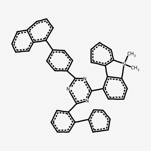 C[Si]1(C)c2ccccc2-c2c(-c3nc(-c4ccc(-c5cccc6ccccc56)cc4)nc(-c4ccccc4-c4ccccc4)n3)cccc21